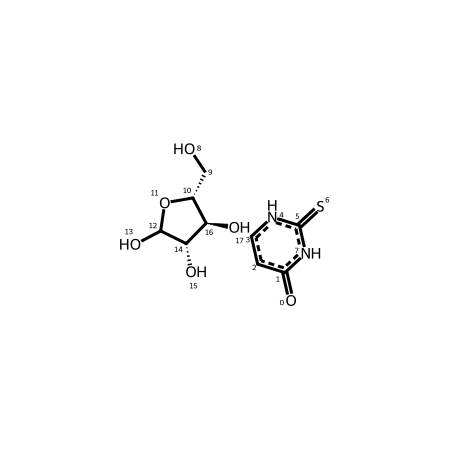 O=c1cc[nH]c(=S)[nH]1.OC[C@H]1OC(O)[C@@H](O)[C@@H]1O